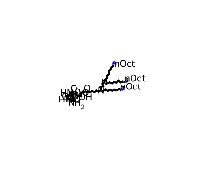 CCCCCCCC/C=C\CCCCCCCCN(CCCCCCCC/C=C\CCCCCCCC)CCCN(CCCCCCCC/C=C\CCCCCCCC)CCCCCC(=O)OC[C@@H]1O[C@H](n2c(=O)[nH]c3c(=O)[nH]c(N)nc32)C(O)C1O